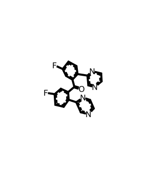 O=C(c1cc(F)ccc1-c1cnccn1)c1cc(F)ccc1-c1cnccn1